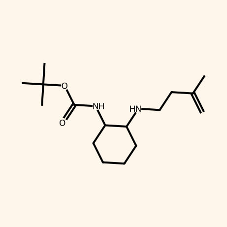 C=C(C)CCNC1CCCCC1NC(=O)OC(C)(C)C